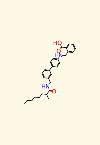 CCCCCCC(C)C(=O)NCc1cccc(-c2ccc(NCc3ccccc3C(=O)O)cc2)c1